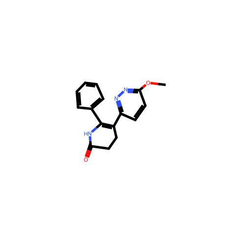 COc1ccc(C2=C(c3ccccc3)NC(=O)CC2)nn1